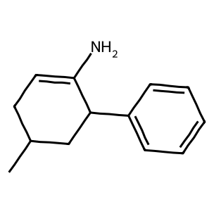 CC1CC=C(N)C(c2ccccc2)C1